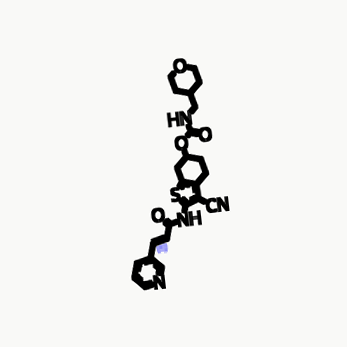 N#Cc1c(NC(=O)/C=C/c2cccnc2)sc2c1CCC(OC(=O)NCC1CCOCC1)C2